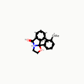 COc1cccc(C23OCCN2C(=O)c2cccc(C)c23)c1